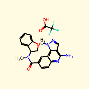 CN(C(=O)c1ccc2nc(N)c3cnn(C)c3c2c1)C1COc2ccccc21.O=C(O)C(F)(F)F